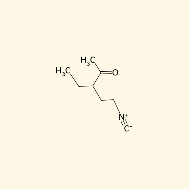 [C-]#[N+]CCC(CC)C(C)=O